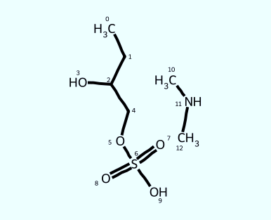 CCC(O)COS(=O)(=O)O.CNC